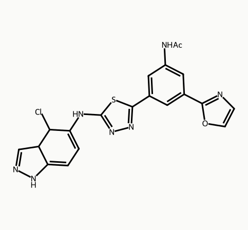 CC(=O)Nc1cc(-c2ncco2)cc(-c2nnc(NC3=CC=C4NN=CC4C3Cl)s2)c1